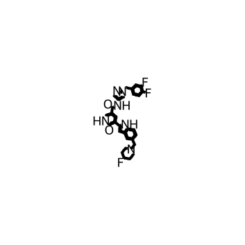 O=C(Nc1cnn(Cc2ccc(F)c(F)c2)c1)c1c[nH]c(=O)c(-c2cc3cc(CN4CCC(F)CC4)ccc3[nH]2)c1